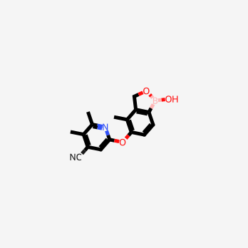 Cc1nc(Oc2ccc3c(c2C)COB3O)cc(C#N)c1C